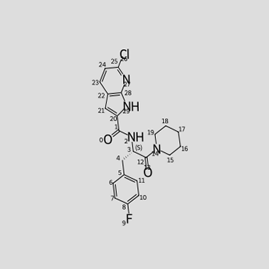 O=C(N[C@@H](Cc1ccc(F)cc1)C(=O)N1CCCCC1)c1cc2ccc(Cl)nc2[nH]1